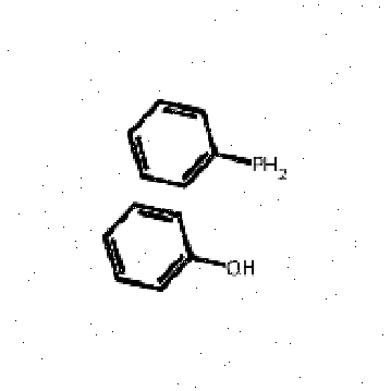 Oc1ccccc1.Pc1ccccc1